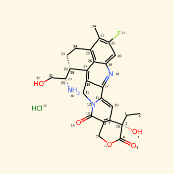 CC[C@@]1(O)C(=O)OCc2c1cc1n(c2=O)Cc2c-1nc1cc(F)c(C)c3c1c2[C@H]([C@H](N)CO)CC3.Cl